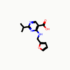 CC(C)c1ncc(C(=O)O)c(NCc2ccco2)n1